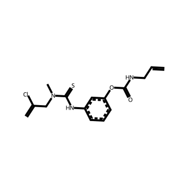 C=CCNC(=O)Oc1cccc(NC(=S)N(C)CC(=C)Cl)c1